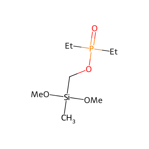 CCP(=O)(CC)OC[Si](C)(OC)OC